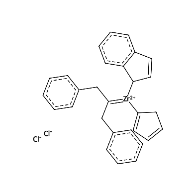 C1=CC[C]([Zr+2](=[C](Cc2ccccc2)Cc2ccccc2)[CH]2C=Cc3ccccc32)=C1.[Cl-].[Cl-]